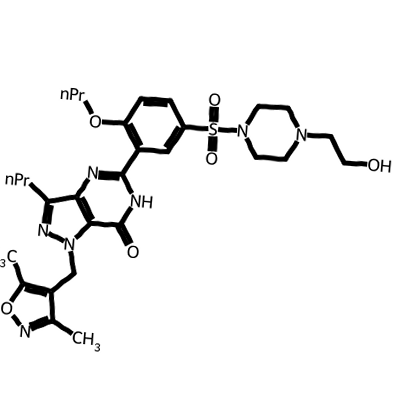 CCCOc1ccc(S(=O)(=O)N2CCN(CCO)CC2)cc1-c1nc2c(CCC)nn(Cc3c(C)noc3C)c2c(=O)[nH]1